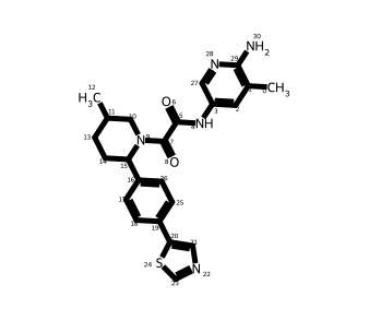 Cc1cc(NC(=O)C(=O)N2CC(C)CCC2c2ccc(-c3cncs3)cc2)cnc1N